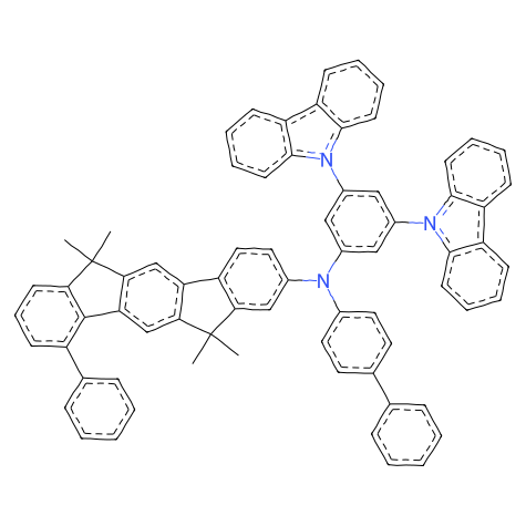 CC1(C)c2cc(N(c3ccc(-c4ccccc4)cc3)c3cc(-n4c5ccccc5c5ccccc54)cc(-n4c5ccccc5c5ccccc54)c3)ccc2-c2cc3c(cc21)-c1c(-c2ccccc2)cccc1C3(C)C